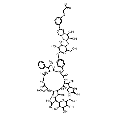 CC(c1ccccc1)C1NC(=O)CNC(=O)C(CO)NC(=O)C(C(O)C2CNC(=N)N2C2OC(CO)C(O)C(O)C2O)NC(=O)C(C(O)C2CNC(=N)N2)NC(=O)C(Cc2ccc(OC3OC(CO)C(OC4OC5COC(c6cccc(OCC(=O)O)c6)OC5C(O)C4O)C(O)C3O)cc2)NC1=O